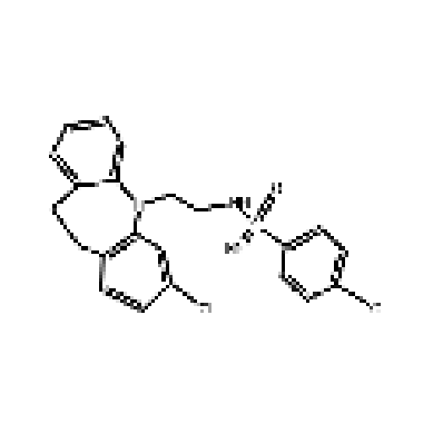 N=S(=O)(NCCN1c2ccccc2CCc2ccc(Cl)cc21)c1ccc(Cl)cc1